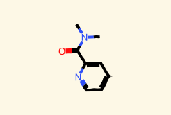 CN(C)C(=O)c1c[c]ccn1